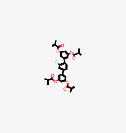 C=C(C)C(=O)Oc1cc(OC(=O)C(=C)C)cc(-c2ccc(-c3cc(OC(=O)C(=C)C)cc(OC(=O)C(=C)C)c3)c(F)c2)c1